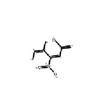 C=C(Cl)/C=C(\C(C)=C/C)[N+](=O)[O-]